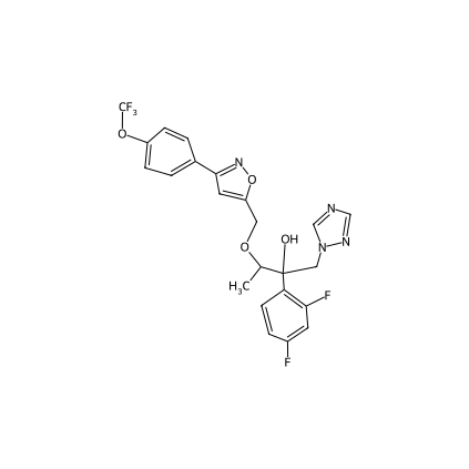 CC(OCc1cc(-c2ccc(OC(F)(F)F)cc2)no1)C(O)(Cn1cncn1)c1ccc(F)cc1F